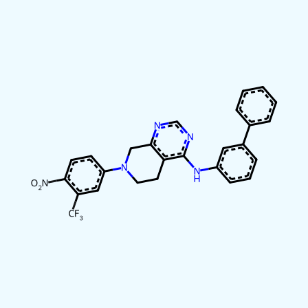 O=[N+]([O-])c1ccc(N2CCc3c(ncnc3Nc3cccc(-c4ccccc4)c3)C2)cc1C(F)(F)F